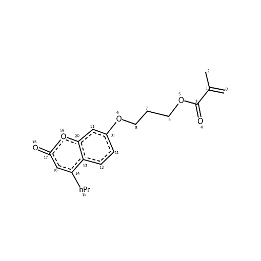 C=C(C)C(=O)OCCCOc1ccc2c(CCC)cc(=O)oc2c1